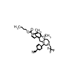 CCCCOC(=O)n1ccc2c(CN3CCCN(CC(F)(F)F)CC3c3ccc(C#N)cc3)c(OC)cc(C)c21